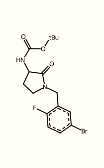 CC(C)(C)OC(=O)NC1CCN(Cc2cc(Br)ccc2F)C1=O